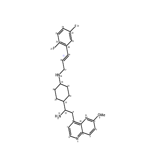 COc1ccc2nccc(CC(N)C3CCC(NC/C=C/c4cc(F)ccc4F)CC3)c2n1